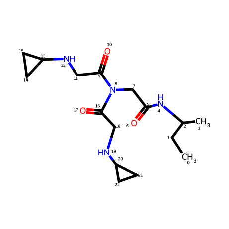 CCC(C)NC(=O)CN(C(=O)CNC1CC1)C(=O)CNC1CC1